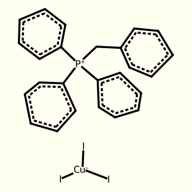 [I][Cu-]([I])[I].c1ccc(C[P+](c2ccccc2)(c2ccccc2)c2ccccc2)cc1